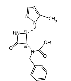 Cc1ncnn1C[C@H]1NC(=O)[C@H]1N(Cc1ccccc1)C(=O)O